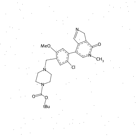 COc1cc(-c2cn(C)c(=O)c3c2C=NC3)c(Cl)cc1CN1CCN(C(=O)OC(C)(C)C)CC1